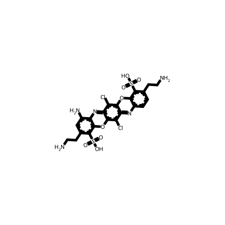 NCCc1ccc2c(c1S(=O)(=O)O)Oc1c(Cl)c3c(c(Cl)c1=N2)Oc1c(c(N)cc(CCN)c1S(=O)(=O)O)N=3